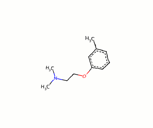 Cc1cccc(OCCN(C)C)c1